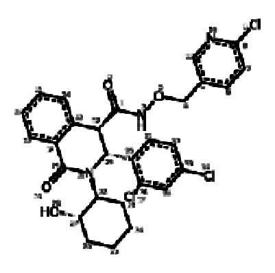 O=C(NOCc1ccc(Cl)nc1)[C@@H]1c2ccccc2C(=O)N([C@H]2CCCC[C@@H]2O)[C@H]1c1ccc(Cl)cc1Cl